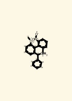 Bc1cccc([N+](=O)[O-])c1-c1c(OC)cccc1C(O)c1ccccc1